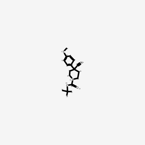 CSc1ccc(C2(C#N)CCN(C(=O)OC(C)(C)C)CC2)cc1